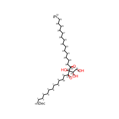 CCCCCCCCCCCCCCCCCCCCCC(=O)C(O)(C(=O)CCCCCCCCCCCCCCC(C)C)C(O)CO